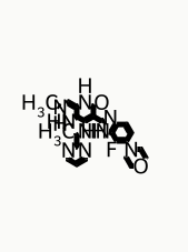 CN/C=C1/NC(=O)C(c2nc3ccc(N4CCOCC4)c(F)c3[nH]2)=C(N[C@@H](C)c2ncccn2)C1=N